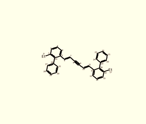 CCc1cccc(/C=C/C#C/C=C/c2cccc(CC)c2-c2ccccc2)c1-c1ccccc1